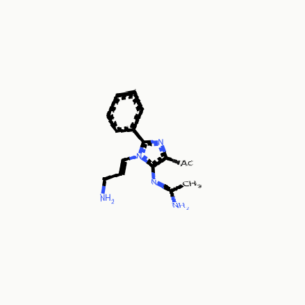 CC(=O)c1nc(-c2ccccc2)n(C=CCN)c1/N=C(\C)N